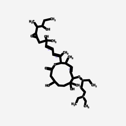 CCC(O)C(C)C1OC1CC(C)(O)/C=C/C=C(\C)C1OC(=O)CC(O)CCC(C)(O)C(ON(CC)CCN(CC)CC)/C=C/C1C